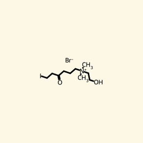 C[N+](C)(CCO)CCCC(=O)CCI.[Br-]